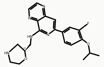 CC(C)Oc1ccc(-c2cc3nccnc3c(NC[C@@H]3CNCCO3)n2)cc1F